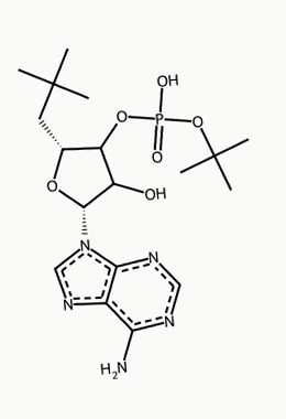 CC(C)(C)C[C@H]1O[C@@H](n2cnc3c(N)ncnc32)C(O)C1OP(=O)(O)OC(C)(C)C